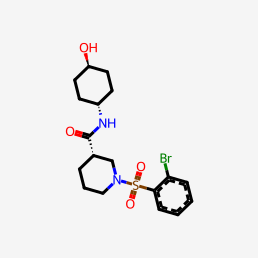 O=C(N[C@H]1CC[C@H](O)CC1)[C@H]1CCCN(S(=O)(=O)c2ccccc2Br)C1